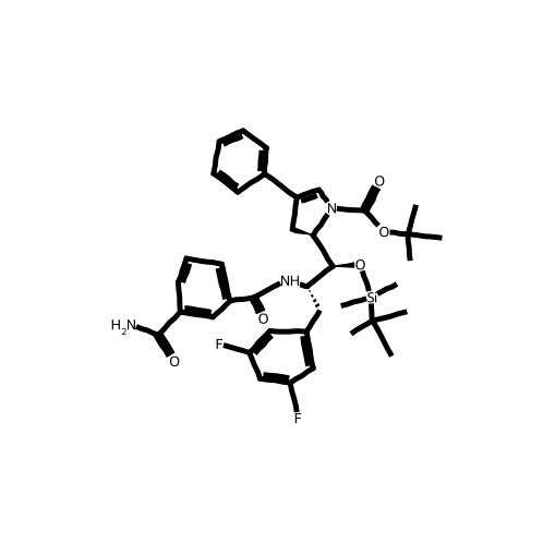 CC(C)(C)OC(=O)N1C=C(c2ccccc2)C[C@@H]1[C@@H](O[Si](C)(C)C(C)(C)C)[C@H](Cc1cc(F)cc(F)c1)NC(=O)c1cccc(C(N)=O)c1